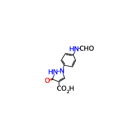 O=CNc1ccc(-n2cc(C(=O)O)c(=O)[nH]2)cc1